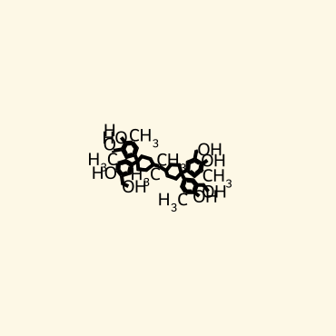 Cc1cc(C2(c3cc(C)c(O)c(CO)c3)CCC(C(C)(C)C3CCC(c4cc(C)c(O)c(CO)c4)(c4cc(C)c(O)c(CO)c4)CC3)CC2)cc(CO)c1O